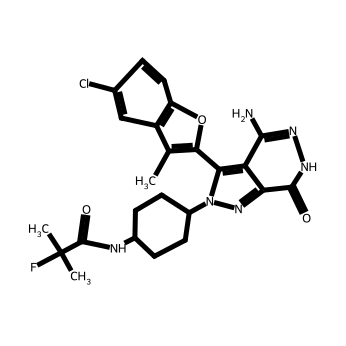 Cc1c(-c2c3c(N)n[nH]c(=O)c3nn2C2CCC(NC(=O)C(C)(C)F)CC2)oc2ccc(Cl)cc12